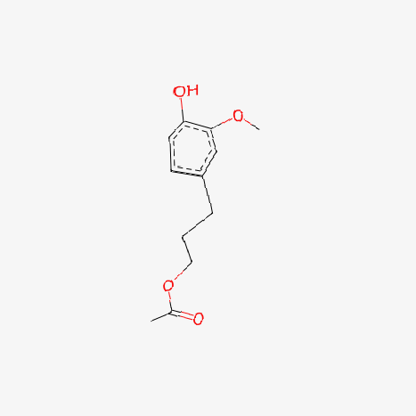 COc1cc(CCCOC(C)=O)ccc1O